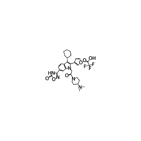 CN(C)C1CCN(C(=O)Cn2c(-c3ccoc3)c(C3CCCCC3)c3ccc(-c4noc(=O)[nH]4)cc32)CC1.O=C(O)C(F)(F)F